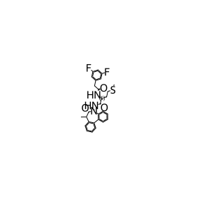 CSCC[C@H](NC(=O)Cc1cc(F)cc(F)c1)C(=O)NN1C(=O)C(C)c2ccccc2-c2ccccc21